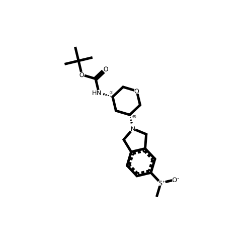 C[S+]([O-])c1ccc2c(c1)CN([C@H]1COC[C@@H](NC(=O)OC(C)(C)C)C1)C2